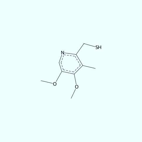 COc1cnc(CS)c(C)c1OC